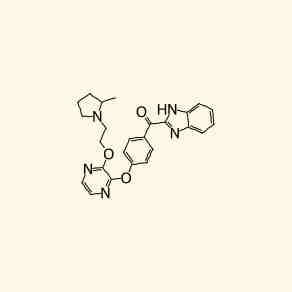 CC1CCCN1CCOc1nccnc1Oc1ccc(C(=O)c2nc3ccccc3[nH]2)cc1